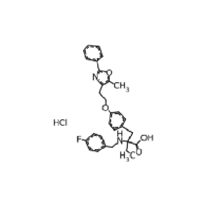 CCC(Cc1ccc(OCCc2nc(-c3ccccc3)oc2C)cc1)(NCc1ccc(F)cc1)C(=O)O.Cl